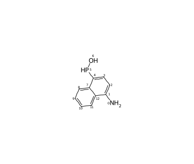 Nc1ccc(PO)c2ccccc12